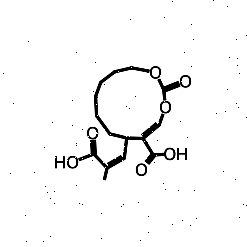 CC(=CC1CCCCCCOC(=O)OC=C1C(=O)O)C(=O)O